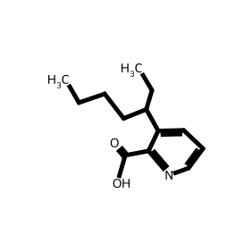 CCCCC(CC)c1cccnc1C(=O)O